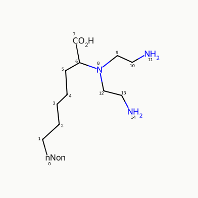 CCCCCCCCCCCCCCC(C(=O)O)N(CCN)CCN